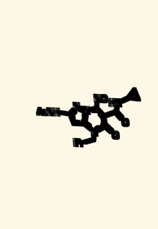 CC(=O)Nc1cc2n(CC(C)C)c(=O)c(C(=O)NC3CC3)c(N=O)n2n1